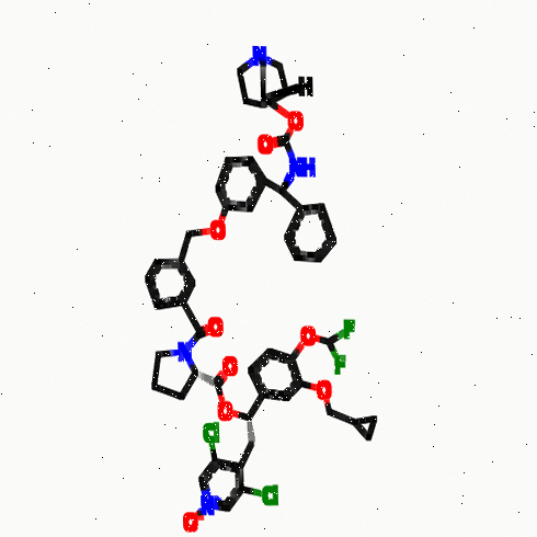 O=C(N[C@@H](c1ccccc1)c1cccc(OCc2cccc(C(=O)N3CCC[C@H]3C(=O)O[C@@H](Cc3c(Cl)c[n+]([O-])cc3Cl)c3ccc(OC(F)F)c(OCC4CC4)c3)c2)c1)O[C@H]1CN2CCC1CC2